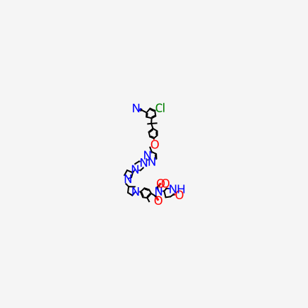 Cc1cc(N2CCC(CN3CCC(N4CCN(c5nccc(COc6ccc(C(C)(C)c7cc(Cl)cc(C#N)c7)cc6)n5)CC4)C3)C2)ccc1C(=O)N(C=O)C1CCC(=O)NC1=O